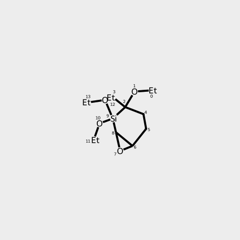 CCOC1(CC)CCC2OC2[Si]1(OCC)OCC